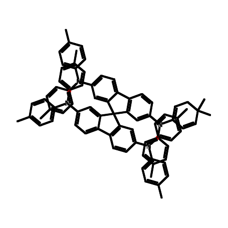 Cc1ccc(N(C2=CCC(C)(C)C=C2)c2ccc3c(c2)C2(c4cc(N(c5ccc(C)cc5)c5ccc(C)cc5)ccc4-3)c3cc(N(c4ccc(C)cc4)c4ccc(C)cc4)ccc3-c3ccc(N(c4ccc(C)cc4)c4ccc(C)cc4)cc32)cc1